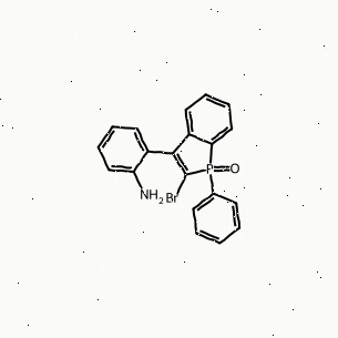 Nc1ccccc1C1=C(Br)P(=O)(c2ccccc2)c2ccccc21